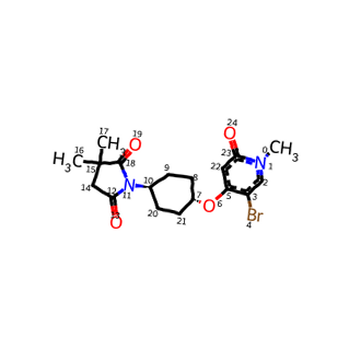 Cn1cc(Br)c(O[C@H]2CC[C@H](N3C(=O)CC(C)(C)C3=O)CC2)cc1=O